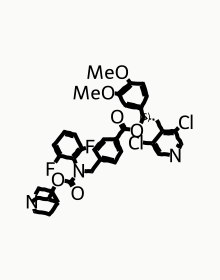 COc1ccc([C@H](Cc2c(Cl)cncc2Cl)OC(=O)c2ccc(CN(C(=O)OC3CN4CCC3CC4)c3c(F)cccc3F)cc2)cc1OC